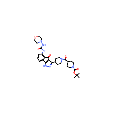 CC(C)(C)OC(=O)N1CCC(C(=O)N2CCC(c3n[nH]c4c3C(=O)c3c(NC(=O)NN5CCOCC5)cccc3-4)CC2)CC1